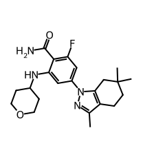 Cc1nn(-c2cc(F)c(C(N)=O)c(NC3CCOCC3)c2)c2c1CCC(C)(C)C2